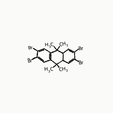 CC1(C)c2cc(Br)c(Br)cc2C(C)(C)C2C=C(Br)C(Br)=CC21